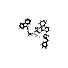 CN(CC(=O)NC(C(=O)N1CCC[C@H]1c1nc(Cc2ccc(F)cc2)cs1)C1CCNCC1)C1OC1OCC1c2ccccc2-c2ccccc21